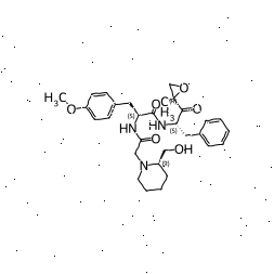 COc1ccc(C[C@H](NC(=O)CN2CCCC[C@@H]2CO)C(=O)N[C@@H](Cc2ccccc2)C(=O)[C@@]2(C)CO2)cc1